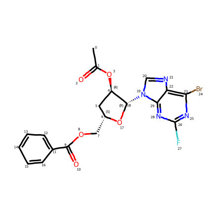 CC(=O)O[C@@H]1C[C@@H](COC(=O)c2ccccc2)O[C@H]1n1cnc2c(Br)nc(F)nc21